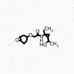 CCC1(NC(=O)COC2CCC3OC3C2)CC1C(C)O